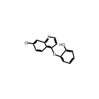 Oc1ccccc1Oc1ccnc2cc(Cl)ccc12